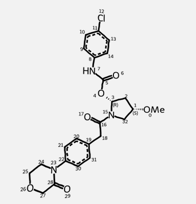 CO[C@H]1C[C@@H](OC(=O)Nc2ccc(Cl)cc2)N(C(=O)Cc2ccc(N3CCOCC3=O)cc2)C1